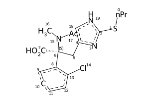 CCCSc1nc(C[C@@](C(=O)O)(c2ccccc2Cl)N(C)C(C)=O)c[nH]1